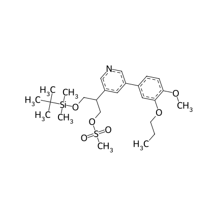 CCCOc1cc(-c2cncc(C(CO[Si](C)(C)C(C)(C)C)COS(C)(=O)=O)c2)ccc1OC